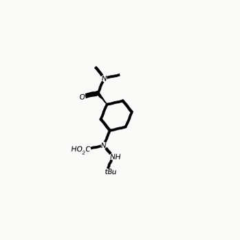 CN(C)C(=O)[C@H]1CCCC(N(NC(C)(C)C)C(=O)O)C1